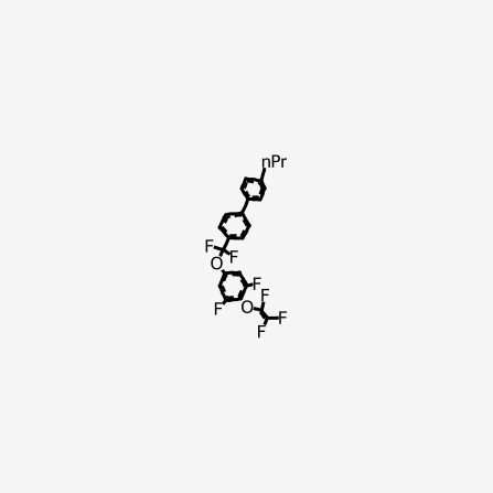 CCCc1ccc(-c2ccc(C(F)(F)Oc3cc(F)c(OC(F)=C(F)F)c(F)c3)cc2)cc1